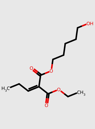 CCC=C(C(=O)OCC)C(=O)OCCCCCO